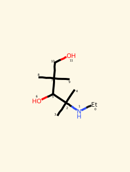 CCNC(C)(C)C(O)C(C)(C)CO